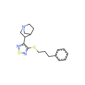 c1ccc(CCCSc2nsnc2C2CN3CCC2C3)cc1